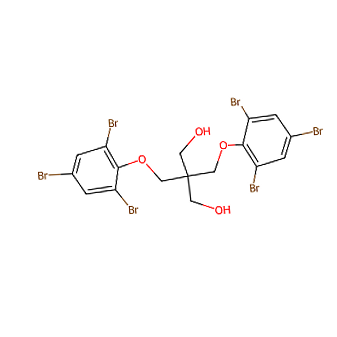 OCC(CO)(COc1c(Br)cc(Br)cc1Br)COc1c(Br)cc(Br)cc1Br